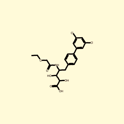 CCOCC(=O)NC(Cc1ccc(-c2cc(Cl)cc(Cl)c2)cc1)C(O)C(O)C(=O)O